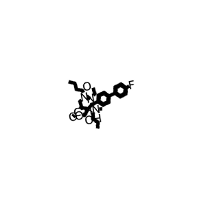 CCCC[C@]1(C(=O)O)C(=C=O)CN(C(=O)CCC)N(CC)[C@@]1(NC)c1ccc(-c2ccc(F)cc2)cc1